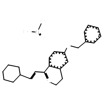 C(=CC1CCCCC1)C1=NCCc2cc(OCc3ccccc3)ccc21.O=[N+]([O-])O